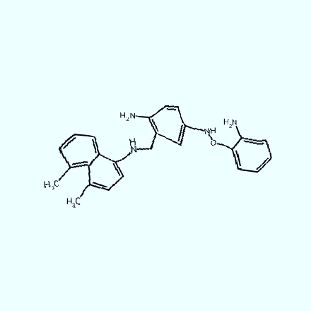 Cc1cccc2c(NCc3cc(NOc4ccccc4N)ccc3N)ccc(C)c12